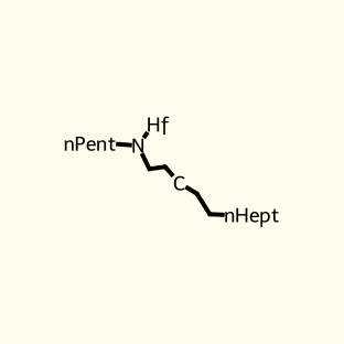 CCCCCCCCCCCC[N]([Hf])CCCCC